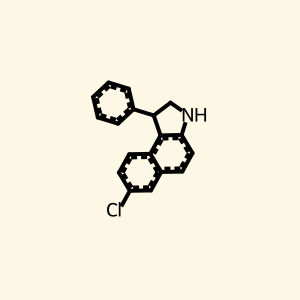 Clc1ccc2c3c(ccc2c1)NCC3c1ccccc1